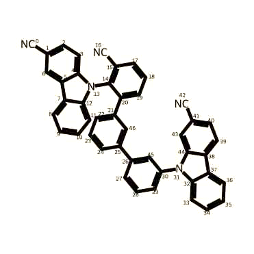 N#Cc1ccc2c(c1)c1ccccc1n2-c1c(C#N)cccc1-c1cccc(-c2cccc(-n3c4ccccc4c4ccc(C#N)cc43)c2)c1